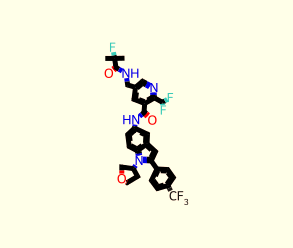 CC(C)(F)C(=O)NCc1cnc(C(F)F)c(C(=O)Nc2ccc3c(c2)cc(-c2ccc(C(F)(F)F)cc2)n3C2CCOC2)c1